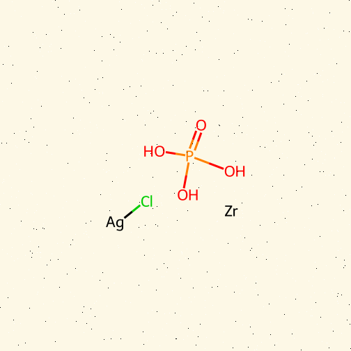 O=P(O)(O)O.[Cl][Ag].[Zr]